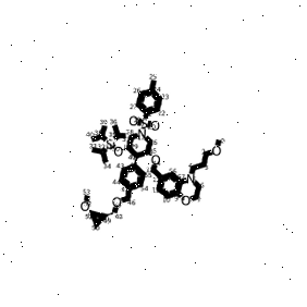 COCCCN1CCOc2ccc(CO[C@H]3CN(S(=O)(=O)c4ccc(C)cc4)C[C@@H](O[Si](C(C)C)(C(C)C)C(C)C)[C@@H]3c3ccc(COC[C@@H]4C[C@@H]4OC)cc3)cc21